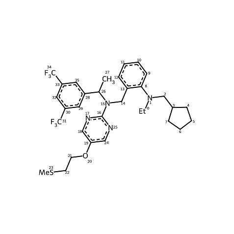 CCN(CC1CCCC1)c1ccccc1CN(c1ncc(OCCSC)cn1)C(C)c1cc(C(F)(F)F)cc(C(F)(F)F)c1